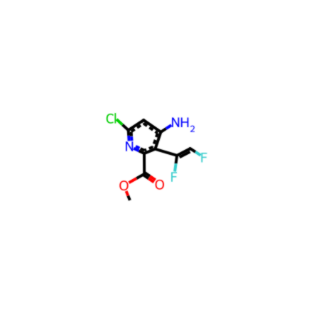 COC(=O)c1nc(Cl)cc(N)c1/C(F)=C/F